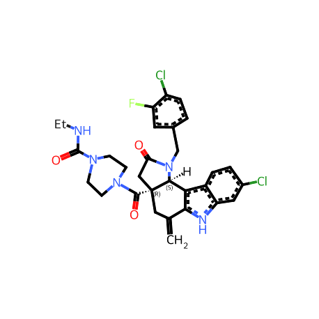 C=C1C[C@@]2(C(=O)N3CCN(C(=O)NCC)CC3)CC(=O)N(Cc3ccc(Cl)c(F)c3)[C@H]2c2c1[nH]c1cc(Cl)ccc21